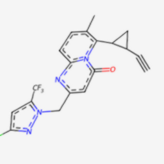 C#CC1CC1c1c(C)ccc2nc(Cn3nc(Cl)cc3C(F)(F)F)cc(=O)n12